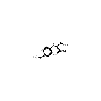 N=CN(Nc1ccc(CN)cc1)C(=O)O